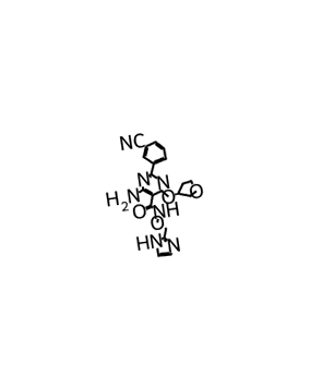 N#Cc1cccc(-c2nc(N)c(C(=O)NOCc3ncc[nH]3)c(O[C@H]3CCOC3)n2)c1